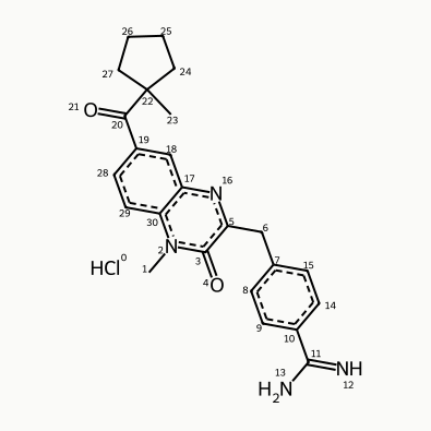 Cl.Cn1c(=O)c(Cc2ccc(C(=N)N)cc2)nc2cc(C(=O)C3(C)CCCC3)ccc21